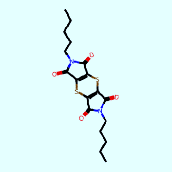 CCCCCn1c(=O)c2sc3c(=O)n(CCCCC)c(=O)c3sc2c1=O